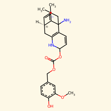 C/C=C1\[C@@H]2C=C(C)CC1(N)C1=C(C2)NC(OC(=O)OCc2ccc(O)c(OC)c2)C=C1